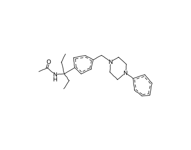 CCC(CC)(NC(C)=O)c1ccc(CN2CCN(c3ccccc3)CC2)cc1